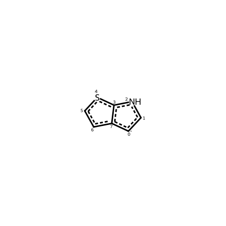 [c]1c[nH]c2sccc12